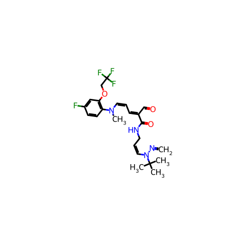 C=NN(/C=C\CNC(=O)/C(C=O)=C/C=C\N(C)c1ccc(F)cc1OCC(F)(F)F)C(C)(C)C